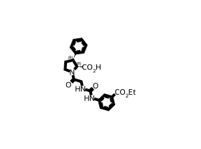 CCOC(=O)c1cccc(NC(=O)NCC(=O)N2CC[C@H](c3ccccc3)[C@@H]2C(=O)O)c1